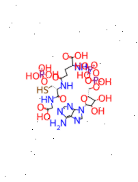 N[C@@H](CCC(=O)N[C@@H](CS)C(=O)NCC(=O)O)C(=O)O.Nc1ncnc2c1ncn2[C@@H]1O[C@H](COP(=O)(O)OP(=O)(O)O)[C@@H](O)[C@H]1O.O=P(O)(O)O